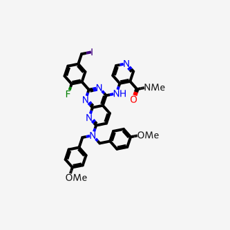 CNC(=O)c1cnccc1Nc1nc(-c2cc(CI)ccc2F)nc2nc(N(Cc3ccc(OC)cc3)Cc3ccc(OC)cc3)ccc12